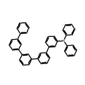 c1ccc(-c2cccc(-c3cccc(-c4cccc(-c5cccc(N(c6ccccc6)c6ccccc6)c5)c4)c3)c2)cc1